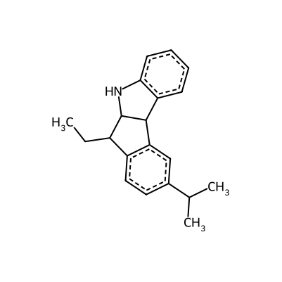 CCC1c2ccc(C(C)C)cc2C2c3ccccc3NC12